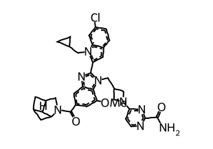 COc1cc(C(=O)N2CC3CC4CC2[C@H]43)cc2nc(-c3cc4ccc(Cl)cc4n3CC3CC3)n(CC3CN(c4ccnc(C(N)=O)n4)C3)c12